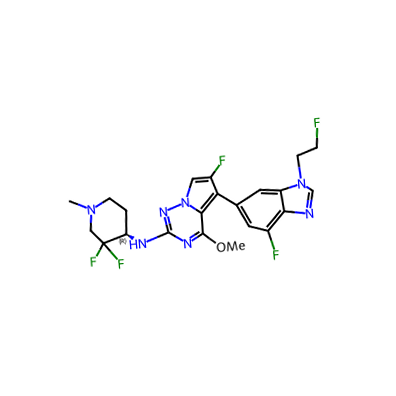 COc1nc(N[C@@H]2CCN(C)CC2(F)F)nn2cc(F)c(-c3cc(F)c4ncn(CCF)c4c3)c12